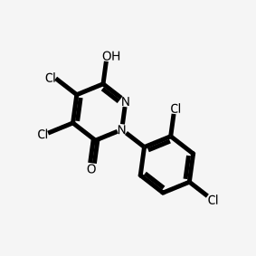 O=c1c(Cl)c(Cl)c(O)nn1-c1ccc(Cl)cc1Cl